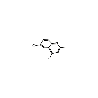 [CH2]c1cc(C)nc2ccc(Cl)cc12